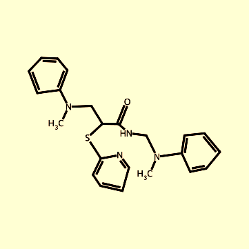 CN(CNC(=O)C(CN(C)c1ccccc1)Sc1ccccn1)c1ccccc1